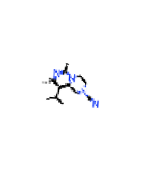 CC1=N[C@@H](C)C(C(C)C)=C2CN(C#N)CCN12